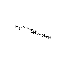 CCCOCCCCOC[N]COCCCCOCCC